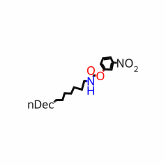 CCCCCCCCCCCCCCCCCNC(=O)Oc1cccc([N+](=O)[O-])c1